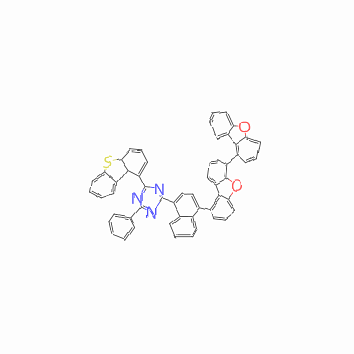 C1=CC2Sc3ccccc3C2C(c2nc(-c3ccccc3)nc(-c3ccc(-c4cccc5oc6c(-c7cccc8oc9ccccc9c78)cccc6c45)c4ccccc34)n2)=C1